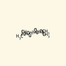 CCC(C)OCCOC(=O)CCCCC(=O)OCCOC(C)CC